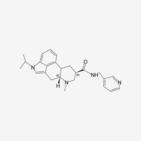 CC(C)n1cc2c3c(cccc31)C1C[C@@H](C(=O)NCc3cccnc3)CN(C)[C@@H]1C2